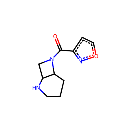 O=C(c1ccon1)N1CC2NCCCC21